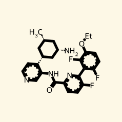 CCOc1ccc(F)c(-c2nc(C(=O)Nc3cnccc3[C@@H]3C[C@H](C)C[C@H](N)C3)ccc2F)c1F